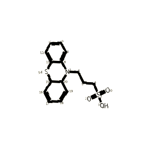 O=S(=O)(O)CCCN1c2ccccc2SC2C=CC=CC21